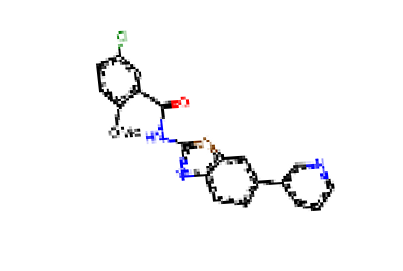 COc1ccc(Cl)cc1C(=O)Nc1nc2ccc(-c3cccnc3)cc2s1